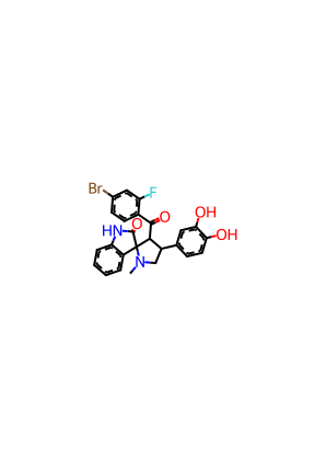 CN1CC(c2ccc(O)c(O)c2)C(C(=O)c2ccc(Br)cc2F)C12C(=O)Nc1ccccc12